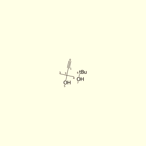 C#CC(C)(C)O.CC(C)(C)O